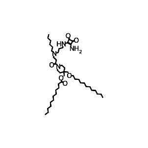 CCCCCCCCCCCCOCC1(COC(=O)CCCCCCCCCCC)CCN(C(=O)CCN(CCCCCC)CCCNc2c(N)c(=O)c2=O)CC1